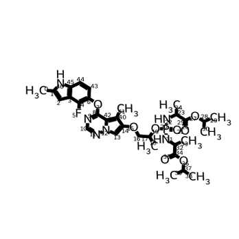 Cc1cc2c(F)c(Oc3ncnn4cc(OCC(C)OP(=O)(NC(C)C(=O)OC(C)C)NC(C)C(=O)OC(C)C)c(C)c34)ccc2[nH]1